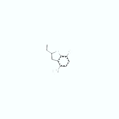 CCC1Cc2c(N)ccc(Cl)c2O1